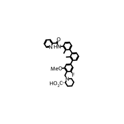 COc1cc(-c2cccc(-c3cccc(NC(=O)c4ccccn4)c3C)c2C)cc(F)c1CN1CCCC[C@@H]1C(=O)O